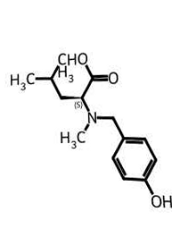 CC(C)C[C@@H](C(=O)O)N(C)Cc1ccc(O)cc1